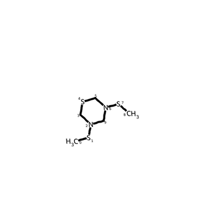 CSN1CSCN(SC)C1